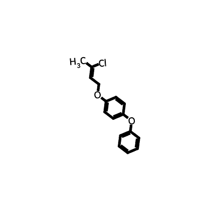 CC(Cl)=CCOc1ccc(Oc2ccccc2)cc1